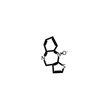 [O-][N+]1=c2ccccc2=NCc2ccsc21